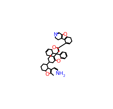 CC1=C(/C=C\N)C2C(CCCC2C2CCC3=C(C2)Oc2ccccc2C32C3C=CC(C4=CCCc5oc6c(c54)CCN=C6)=CC3OC3C=CCCC32)O1